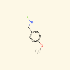 FNCc1ccc(OC(F)(F)F)cc1